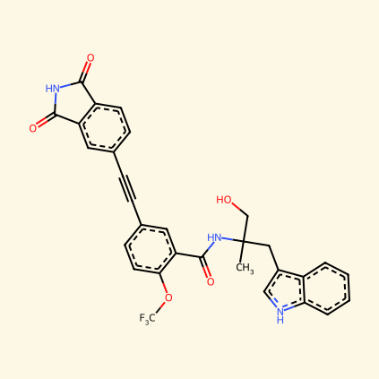 CC(CO)(Cc1c[nH]c2ccccc12)NC(=O)c1cc(C#Cc2ccc3c(c2)C(=O)NC3=O)ccc1OC(F)(F)F